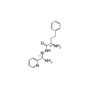 N/C(=N\NC(=O)[C@H](N)CCc1ccccc1)c1ccccn1